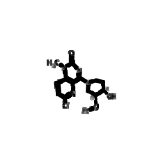 CCO[C@H]1CN(c2nc(=O)n(C)c3ccc(Cl)nc23)CC[C@H]1O